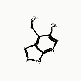 CC(C)(C)c1cnc2[nH]ccc2c1CO